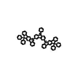 c1ccc(-n2c3ccc(-n4c5ccccc5c5cc6c(cc54)-c4ccccc4C6(c4ccccc4)c4ccccc4)cc3c3cc(-n4c5ccccc5c5cc6c(cc54)-c4ccccc4C6(c4ccccc4)c4ccccc4)ccc32)cc1